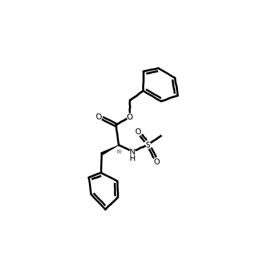 CS(=O)(=O)N[C@@H](Cc1ccccc1)C(=O)OCc1ccccc1